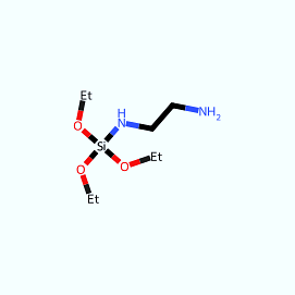 CCO[Si](NCCN)(OCC)OCC